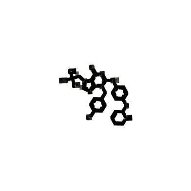 CC(C)(O)Cn1cnc2c1c(=O)nc(Nc1ccc(OC3C=CC=CN3)cc1)n2Cc1ccc(Cl)cc1